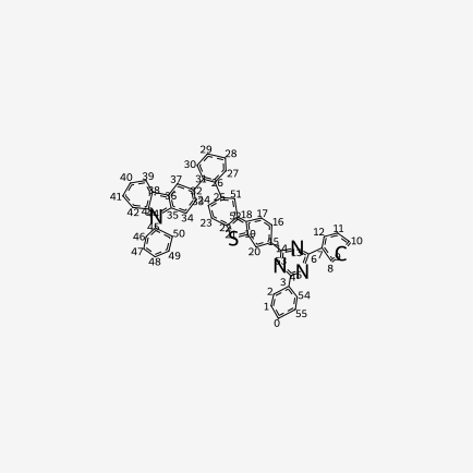 c1ccc(-c2nc(-c3ccccc3)nc(-c3ccc4c(c3)sc3ccc(-c5ccccc5-c5ccc6c(c5)c5ccccc5n6-c5ccccc5)cc34)n2)cc1